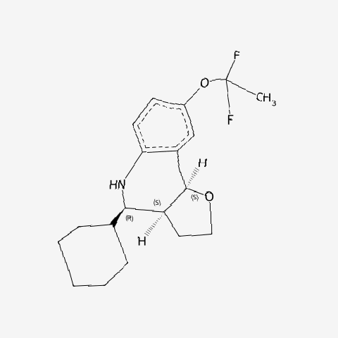 CC(F)(F)Oc1ccc2c(c1)[C@H]1OCC[C@H]1[C@@H](C1CCCCC1)N2